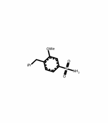 COc1cc(S(N)(=O)=O)ccc1CC(C)C